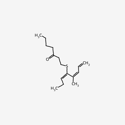 C=C/C=C(C)\C(=C/CC)SCCC(=O)CCCC